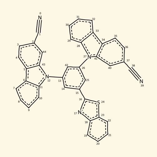 N#Cc1ccc2c3ccccc3n(-c3cc(-c4nc5ccccc5s4)cc(-n4c5ccccc5c5ccc(C#N)cc54)c3)c2c1